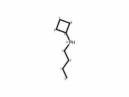 CCCCPC1CCC1